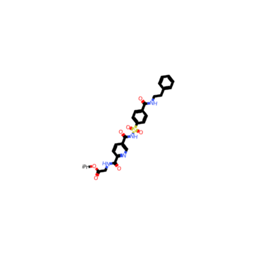 CC(C)OC(=O)CNC(=O)c1ccc(C(=O)NS(=O)(=O)c2ccc(C(=O)NCCc3ccccc3)cc2)cn1